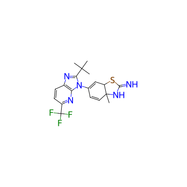 CC(C)(C)c1nc2ccc(C(F)(F)F)nc2n1C1=CC2SC(=N)NC2(C)C=C1